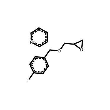 [Ir][c]1ccc(COCC2CO2)cc1.c1ccncc1